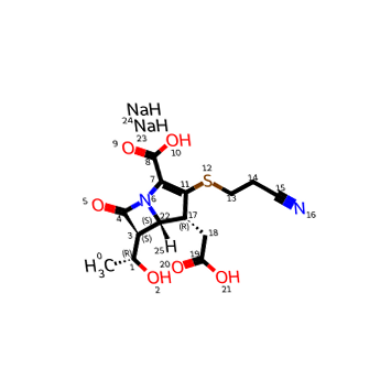 C[C@@H](O)[C@H]1C(=O)N2C(C(=O)O)=C(SCCC#N)[C@H](CC(=O)O)[C@H]12.[NaH].[NaH]